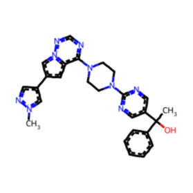 Cn1cc(-c2cc3c(N4CCN(c5ncc(C(C)(O)c6ccccc6)cn5)CC4)ncnn3c2)cn1